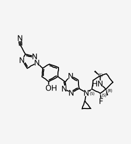 C[C@@]12CC[C@@](C)(N1)[C@@H](F)[C@@H](N(c1cnc(-c3ccc(-n4cnc(C#N)n4)cc3O)nn1)C1CC1)C2